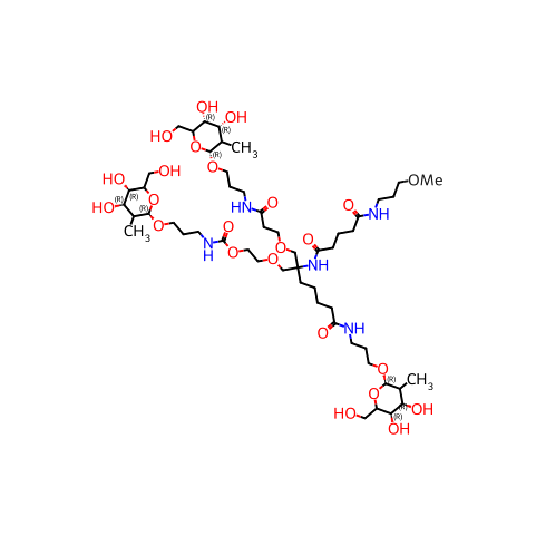 COCCCNC(=O)CCCC(=O)NC(CCCCC(=O)NCCCO[C@@H]1OC(CO)[C@H](O)[C@H](O)C1C)(COCCOC(=O)NCCCO[C@@H]1OC(CO)[C@H](O)[C@H](O)C1C)COCCC(=O)NCCCO[C@@H]1OC(CO)[C@H](O)[C@H](O)C1C